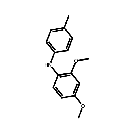 COc1ccc(Nc2ccc(C)cc2)c(OC)c1